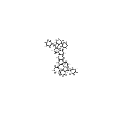 c1ccc(-c2cc3cc4c(cc(-c5ccccc5)c5c4ccc4c5c5ccccc5n4-c4ccccc4)cc3c3ccc4c(c5ccccc5n4-c4ccccc4)c23)cc1